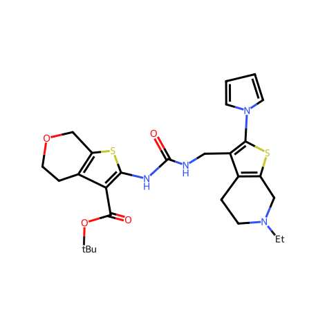 CCN1CCc2c(sc(-n3cccc3)c2CNC(=O)Nc2sc3c(c2C(=O)OC(C)(C)C)CCOC3)C1